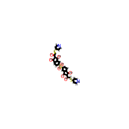 O=C(CSc1ccncc1)C1C(=O)c2ccc(S(=O)(=O)c3ccc4c(c3)C(=O)C(C(=O)CSc3ccncc3)C4=O)cc2C1=O